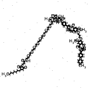 CCCCCCCCC1CC(=O)N(CCC(=O)NCCOCCOCCOCCOCCOCCOCCOCCOCCC(=O)NC(C(=O)N[C@@H](C)C(=O)Nc2ccc(C3=CN4C(=O)c5cc(OC)c(OCCCOc6cc7c(cc6OC)C(=O)N6C=C(c8ccc(N9CCN(C)CC9)cc8)C[C@H]6C=N7)cc5N=C[C@@H]4C3)cc2)C(C)C)C1=O